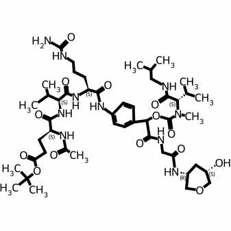 CC(=O)N[C@@H](CCC(=O)OC(C)(C)C)C(=O)N[C@H](C(=O)N[C@@H](CCCNC(N)=O)C(=O)Nc1ccc(C(OC(=O)N(C)[C@H](C(=O)NCC(C)C)C(C)C)C(=O)NCC(=O)N[C@H]2COC[C@@H](O)C2)cc1)C(C)C